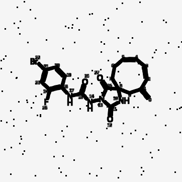 C=C1/C=C\C=C/CCC2(C1)NC(=O)N(NC(=O)Nc1ccc(Br)cc1F)C2=O